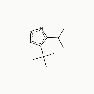 CC(C)c1nscc1C(C)(C)C